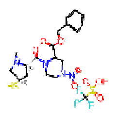 CN1C[C@@H](S)C[C@H]1C(=O)N1CCN([N+](=O)[O-])CC1C(=O)OCc1ccccc1.O=S(=O)(O)C(F)(F)F